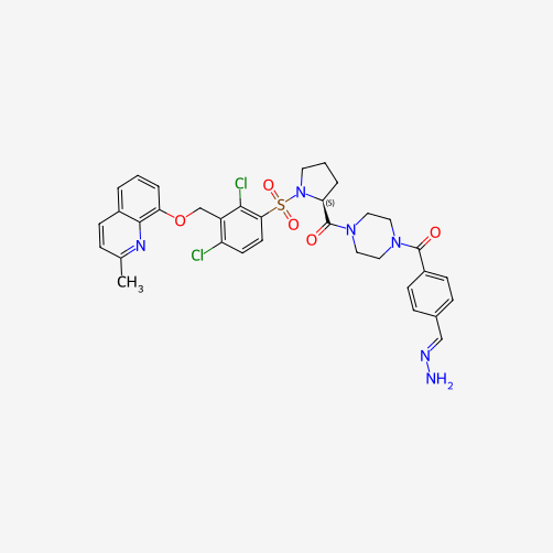 Cc1ccc2cccc(OCc3c(Cl)ccc(S(=O)(=O)N4CCC[C@H]4C(=O)N4CCN(C(=O)c5ccc(C=NN)cc5)CC4)c3Cl)c2n1